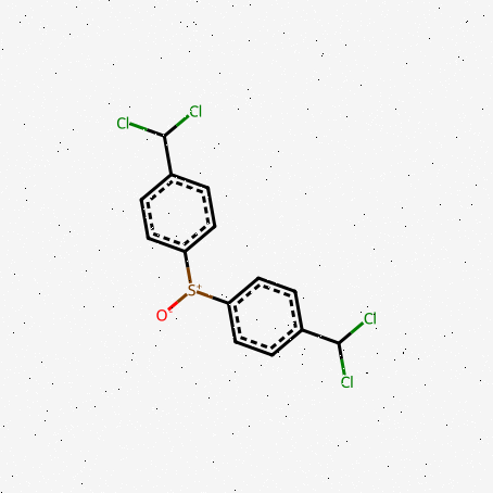 [O-][S+](c1ccc(C(Cl)Cl)cc1)c1ccc(C(Cl)Cl)cc1